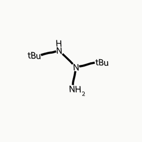 CC(C)(C)NN(N)C(C)(C)C